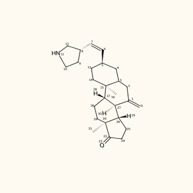 C=C1CC2C[C@H](/C=C\[C@@H]3CCNC3)CC[C@]2(C)[C@H]2CC[C@]3(C)C(=O)CC[C@H]3[C@H]12